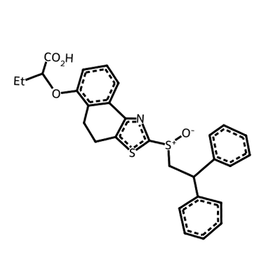 CCC(Oc1cccc2c1CCc1sc([S+]([O-])CC(c3ccccc3)c3ccccc3)nc1-2)C(=O)O